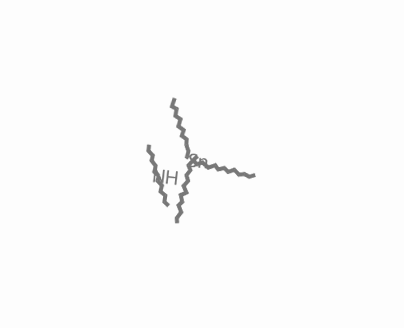 CCCCCCCCCCC[CH2][Sn]([CH3])([CH2]CCCCCCCCCCC)[CH2]CCCCCCCCCCC.CCCCCCNCCCCCC